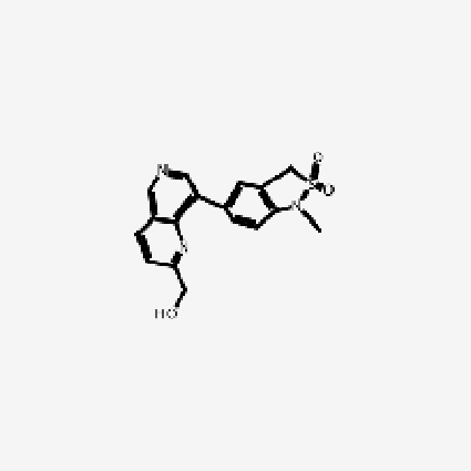 CN1c2ccc(-c3cncc4ccc(CO)nc34)cc2CS1(=O)=O